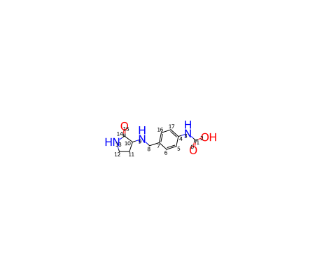 O=C(O)Nc1ccc(CNC2CCNC2=O)cc1